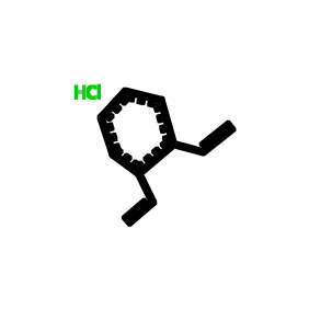 C=Cc1ccccc1C=C.Cl